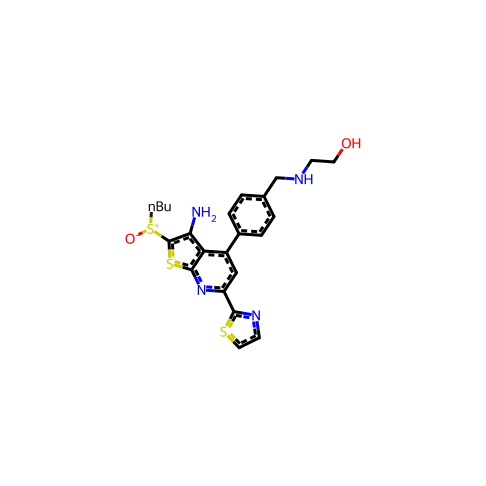 CCCC[S+]([O-])c1sc2nc(-c3nccs3)cc(-c3ccc(CNCCO)cc3)c2c1N